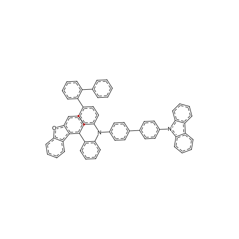 c1ccc(-c2ccccc2-c2ccc(N(c3ccc(-c4ccc(-n5c6ccccc6c6ccccc65)cc4)cc3)c3ccccc3-c3cccc4oc5ccccc5c34)cc2)cc1